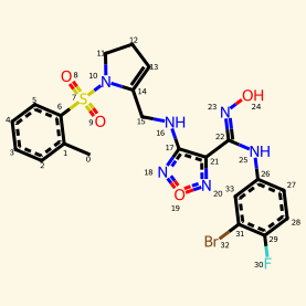 Cc1ccccc1S(=O)(=O)N1CCC=C1CNc1nonc1/C(=N/O)Nc1ccc(F)c(Br)c1